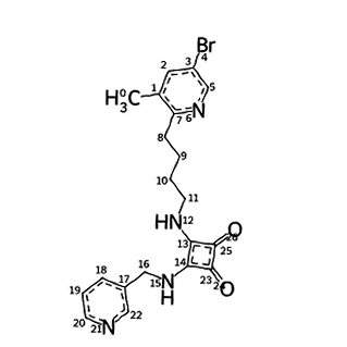 Cc1cc(Br)cnc1CCCCNc1c(NCc2cccnc2)c(=O)c1=O